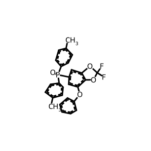 Cc1ccc(P(=O)(c2ccc(C)cc2)c2cc(Oc3ccccc3)c3c(c2)OC(F)(F)O3)cc1